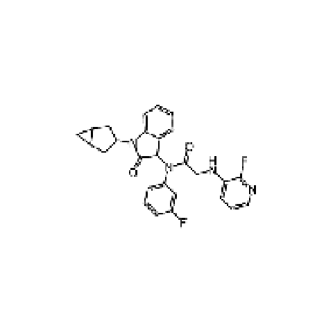 O=C1C(N(C(=O)CNc2cccnc2F)c2cccc(F)c2)c2ccccc2N1C1CC2CC2C1